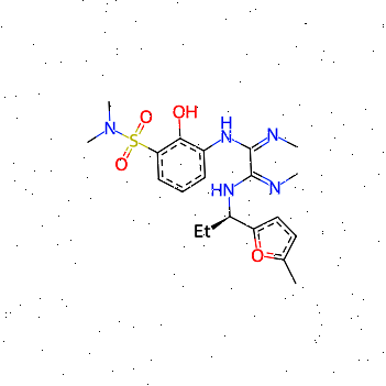 CC[C@@H](NC(=N/C)/C(=N\C)Nc1cccc(S(=O)(=O)N(C)C)c1O)c1ccc(C)o1